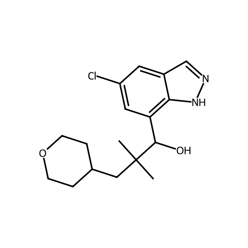 CC(C)(CC1CCOCC1)C(O)c1cc(Cl)cc2cn[nH]c12